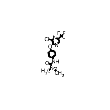 CON(C)C(=O)Nc1ccc(Oc2ncc(C(F)(F)F)nc2Cl)cc1